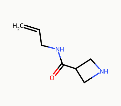 C=CCNC(=O)C1CNC1